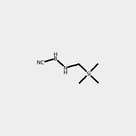 C[Si](C)(C)CNBC#N